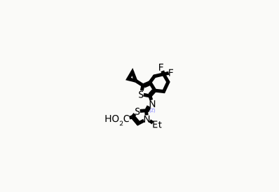 CCn1cc(C(=O)O)s/c1=N\c1sc(C2CC2)c2c1CCC(F)(F)C2